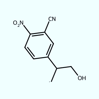 [CH2]C(CO)c1ccc([N+](=O)[O-])c(C#N)c1